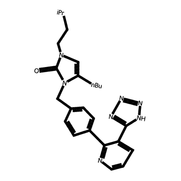 CCCCc1cn(CCC(C)C)c(=O)n1Cc1ccc(-c2ncccc2-c2nnn[nH]2)cc1